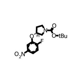 CC(C)(C)OC(=O)N1CC[C@@H](Oc2cc([N+](=O)[O-])ccc2F)C1